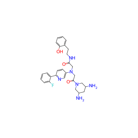 NC1CC(N)CN(C(=O)CN(CC(=O)NCCc2ccccc2O)c2ccc(-c3ccccc3F)nc2)C1